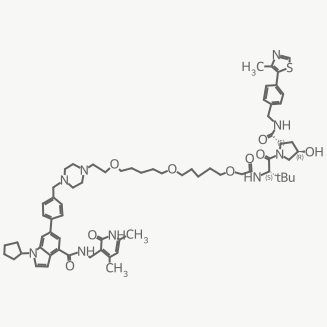 Cc1cc(C)c(CNC(=O)c2cc(-c3ccc(CN4CCN(CCOCCCCCOCCCCCOCC(=O)N[C@H](C(=O)N5C[C@H](O)C[C@H]5C(=O)NCc5ccc(-c6scnc6C)cc5)C(C)(C)C)CC4)cc3)cc3c2ccn3C2CCCC2)c(=O)[nH]1